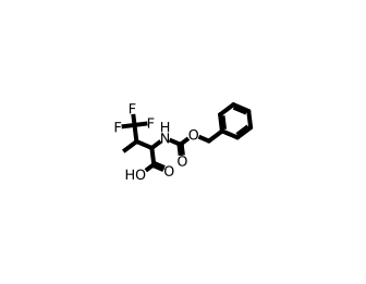 CC(C(NC(=O)OCc1ccccc1)C(=O)O)C(F)(F)F